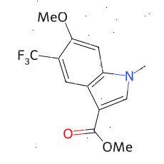 COC(=O)c1cn(C)c2cc(OC)c(C(F)(F)F)cc12